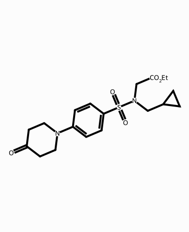 CCOC(=O)CN(CC1CC1)S(=O)(=O)c1ccc(N2CCC(=O)CC2)cc1